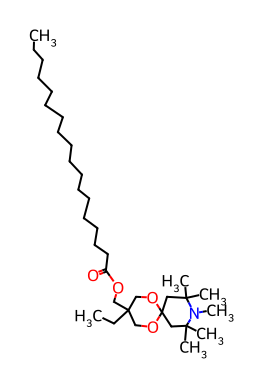 CCCCCCCCCCCCCCCCCC(=O)OCC1(CC)COC2(CC(C)(C)N(C)C(C)(C)C2)OC1